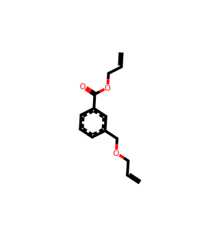 C=CCOCc1cccc(C(=O)OCC=C)c1